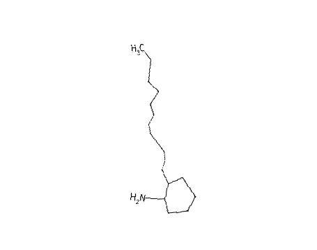 CCCCCCCCCC1CCCCC1N